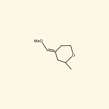 COC=C1CCOC(C)C1